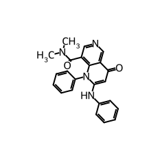 CN(C)C(=O)c1cncc2c(=O)cc(Nc3ccccc3)n(-c3ccccc3)c12